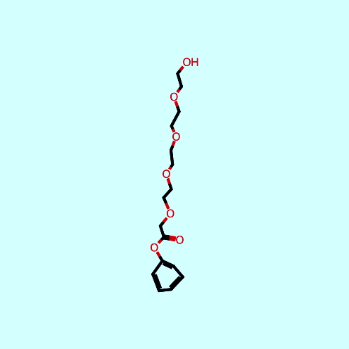 O=C(COCCOCCOCCOCCO)Oc1ccccc1